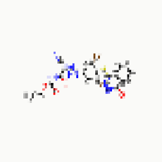 CCOC(=O)NC(=O)/C(C#N)=N\Nc1cc(Br)c(Sc2n[nH]c(=O)c3ccccc23)c(Br)c1